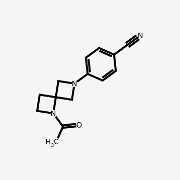 CC(=O)N1CCC12CN(c1ccc(C#N)cc1)C2